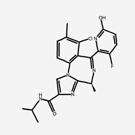 Cc1ccc2c(c1Cl)C(c1nc(O)ccc1F)=N[C@@H](C)c1nc(C(=O)NC(C)C)cn1-2